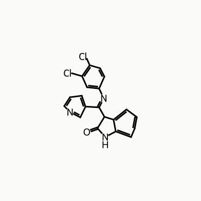 O=C1Nc2ccccc2C1C(=Nc1ccc(Cl)c(Cl)c1)c1cccnc1